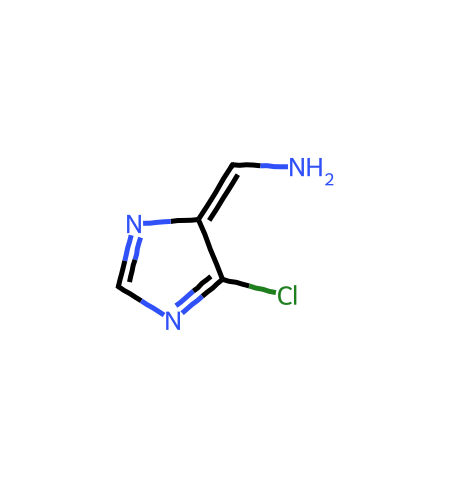 NC=C1N=CN=C1Cl